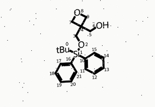 CC(C)(C)[Si](OCC1(CO)COC1)(c1ccccc1)c1ccccc1